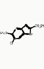 CCOC(=O)c1cc2nc(OC)c(Cl)cc2[nH]1